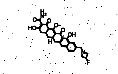 COC1=C2C(=O)c3c(cc4ccc(CN5CC(F)C5)cc4c3O)C[C@H]2CC2CC(O)=C(C(N)=O)C(=O)C12